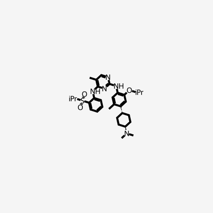 Cc1cnc(Nc2cc(C)c([C@H]3CC[C@@H](N(C)C)CC3)cc2OC(C)C)nc1Nc1ccccc1S(=O)(=O)C(C)C